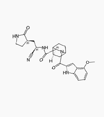 COc1cccc2[nH]c(C(=O)N3C4CCC(CC4)[C@@H]3C(=O)N[C@@H](C#N)C[C@H]3CCNC3=O)cc12